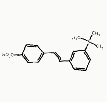 C[Si](C)(C)c1cccc(C=Cc2ccc(C(=O)O)cc2)c1